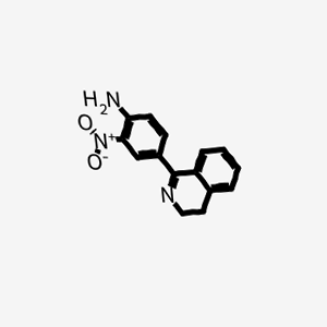 Nc1ccc(C2=NCCc3ccccc32)cc1[N+](=O)[O-]